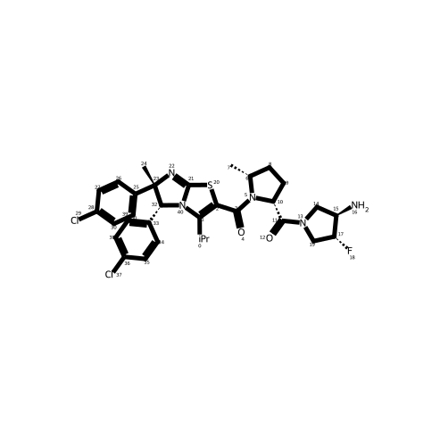 CC(C)C1=C(C(=O)N2[C@H](C)CC[C@@H]2C(=O)N2C[C@@H](N)[C@H](F)C2)SC2=N[C@@](C)(c3ccc(Cl)cc3)[C@@H](c3ccc(Cl)cc3)N21